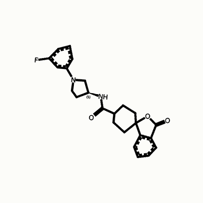 O=C1OC2(CCC(C(=O)N[C@H]3CCN(c4cccc(F)c4)C3)CC2)c2ccccc21